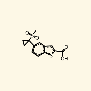 CS(=O)(=O)C1(c2ccc3sc(C(=O)O)cc3c2)CC1